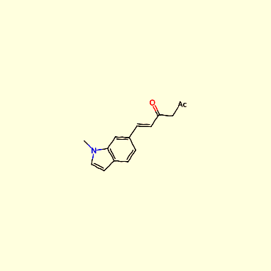 CC(=O)CC(=O)C=Cc1ccc2ccn(C)c2c1